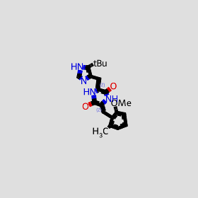 COc1cccc(C)c1/C=c1\[nH]c(=O)/c(=C/c2nc[nH]c2C(C)(C)C)[nH]c1=O